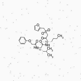 CCCC[C@H](NC(=O)[C@H](CC(C)C)NC(=O)COc1ccccc1)C(=O)CS(=O)(=O)Cc1ccco1